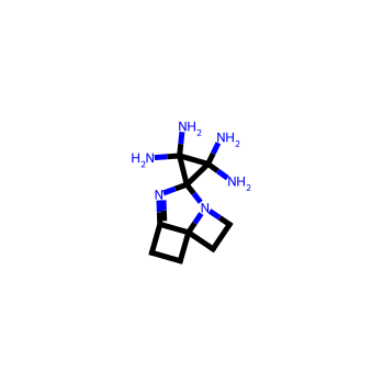 NC1(N)C(N)(N)C12N=C1CCC13CCN32